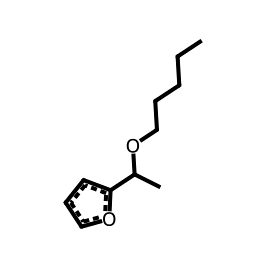 CCCCCOC(C)c1ccco1